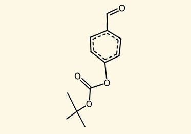 CC(C)(C)OC(=O)Oc1ccc(C=O)cc1